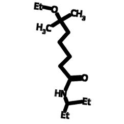 CCOC(C)(C)CCCCC(=O)NC(CC)CC